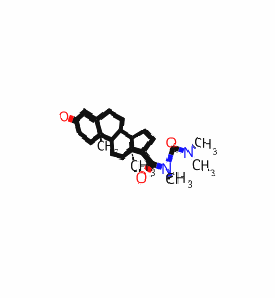 CN(C)C(=O)N(C)C(=O)C1CCC2C3CCC4=CC(=O)CC[C@]4(C)C3CC[C@]12C